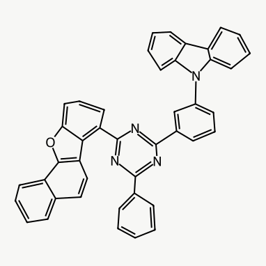 c1ccc(-c2nc(-c3cccc(-n4c5ccccc5c5ccccc54)c3)nc(-c3cccc4oc5c6ccccc6ccc5c34)n2)cc1